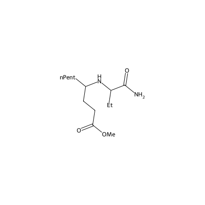 CCCCCC(CCC(=O)OC)NC(CC)C(N)=O